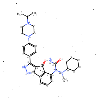 CC(C)N1CCN(c2ccc(-c3[nH]nc4c3C(=O)c3c-4cccc3N(C(N)=O)N(C)C3CCCCC3)cc2)CC1